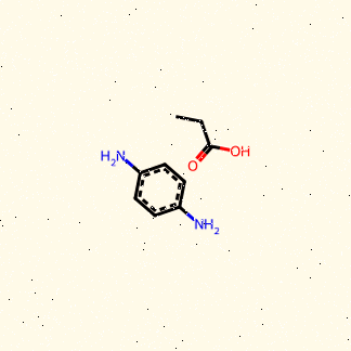 CCC(=O)O.Nc1ccc(N)cc1